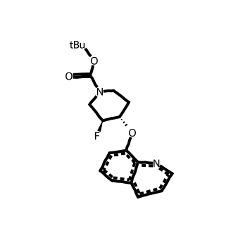 CC(C)(C)OC(=O)N1CC[C@H](Oc2cccc3cccnc23)[C@@H](F)C1